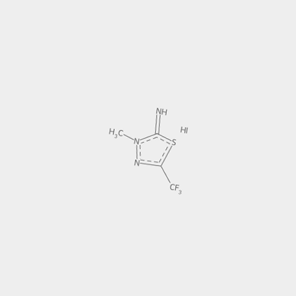 Cn1nc(C(F)(F)F)sc1=N.I